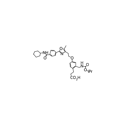 Cc1oc(-c2ccc(C(=O)NC3CCCCC3)cc2)nc1CCOc1ccc(CCC(=O)O)c(CNC(=O)OC(C)C)c1